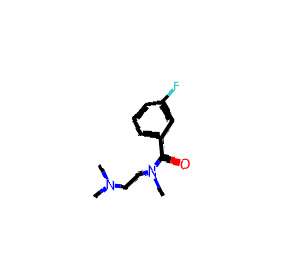 CN(C)CCN(C)C(=O)c1cccc(F)c1